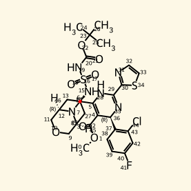 COC(=O)C1=C(CN2[C@@H]3COC[C@H]2C[C@@H](NS(=O)(=O)NC(=O)OC(C)(C)C)C3)NC(c2nccs2)=N[C@H]1c1ccc(F)cc1Cl